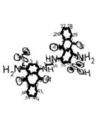 Nc1c([SH](=O)=O)cc(NCCNc2cc(S(=O)(=O)O)c(N)c3c2C(=O)c2ccccc2C3=O)c2c1C(=O)c1ccccc1C2=O